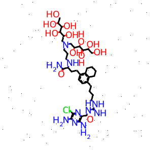 N=C(NCCCCc1ccc(CCC(NCCCN(CC(O)C(O)C(O)C(O)CO)CC(O)C(O)C(O)C(O)CO)C(N)=O)c2c1CCCC2)NC(=O)c1nc(Cl)c(N)nc1N